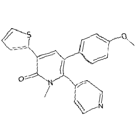 COc1ccc(-c2cc(-c3cccs3)c(=O)n(C)c2-c2ccncc2)cc1